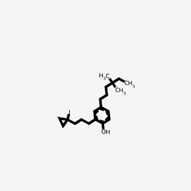 CCC(C)(C)CCCc1ccc(O)c(CCCC2(I)CC2)c1